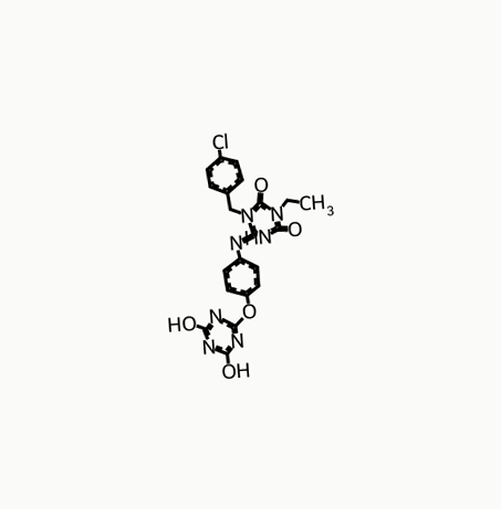 CCn1c(=O)[nH]/c(=N\c2ccc(Oc3nc(O)nc(O)n3)cc2)n(Cc2ccc(Cl)cc2)c1=O